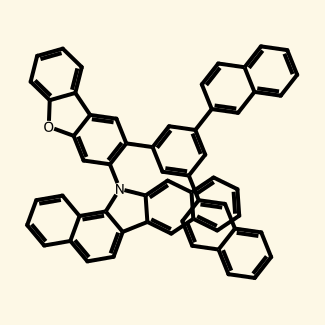 c1ccc2cc(-c3cc(-c4ccc5ccccc5c4)cc(-c4cc5c(cc4-n4c6cc7ccccc7cc6c6ccc7ccccc7c64)oc4ccccc45)c3)ccc2c1